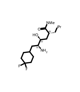 CNC(=O)[C@H](CC(C)C)C[C@H](O)[C@@H](N)CC1CCC(F)(F)CC1